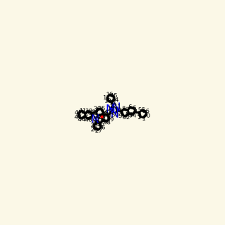 c1ccc(-c2ccc3cc(-c4nc(-c5ccccc5)nc(-c5ccc(-c6ccccc6-n6c7ccccc7c7cc8ccccc8cc76)cc5)n4)ccc3c2)cc1